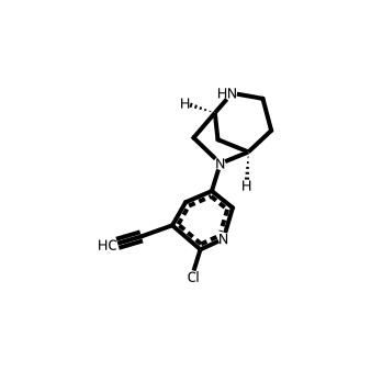 C#Cc1cc(N2C[C@@H]3C[C@H]2CCN3)cnc1Cl